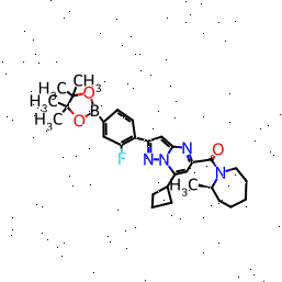 C[C@@H]1CCCCCN1C(=O)c1cc(C2CCC2)n2nc(-c3ccc(B4OC(C)(C)C(C)(C)O4)cc3F)cc2n1